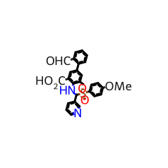 COc1ccc(S(=O)(=O)C(Nc2c(C)cc(-c3ccccc3C=O)cc2C(=O)O)c2cccnc2)cc1